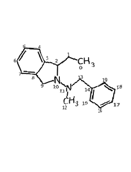 CCC1c2ccccc2CN1N(C)Cc1ccccc1